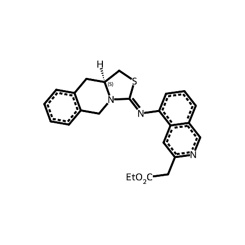 CCOC(=O)Cc1cc2c(N=C3SC[C@@H]4Cc5ccccc5CN34)cccc2cn1